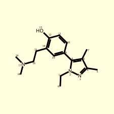 CCn1nc(C)c(C)c1-c1ccc(O)c(CCN(C)C)c1